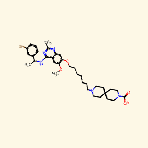 COc1cc2c(NC(C)c3cccc(Br)c3)nc(C)nc2cc1OCCCCCCCN1CCC2(CC1)CCN(C(=O)O)CC2